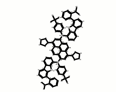 CC(C)c1ccccc1-c1cccc2c1oc1c(N(c3ccc(C(C)(C)C)cc3)c3cc(C4CCCC4)c4ccc5c(N(c6ccc(C(C)(C)C)cc6)c6cccc7c6oc6c(-c8ccccc8C(C)C)cccc67)cc(C6CCCC6)c6ccc3c4c65)cccc12